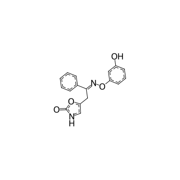 O=c1[nH]cc(C/C(=N\Oc2cccc(O)c2)c2ccccc2)o1